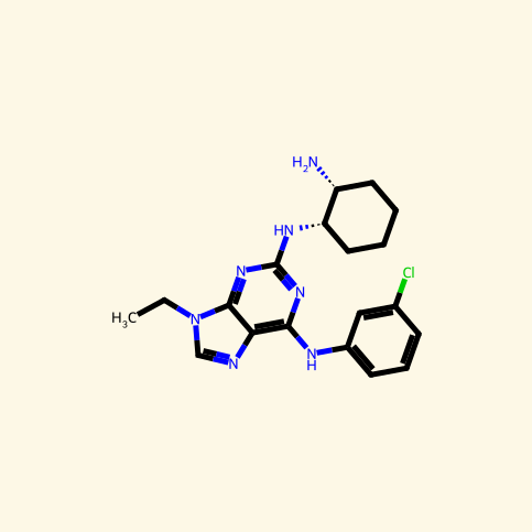 CCn1cnc2c(Nc3cccc(Cl)c3)nc(N[C@H]3CCCC[C@H]3N)nc21